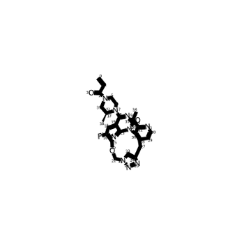 C=CC(=O)N1CCN(c2nc(=O)n3c4nc(c(F)cc24)OCn2cc(nn2)Cc2ccnc(C(C)C)c2-3)[C@@H](C)C1